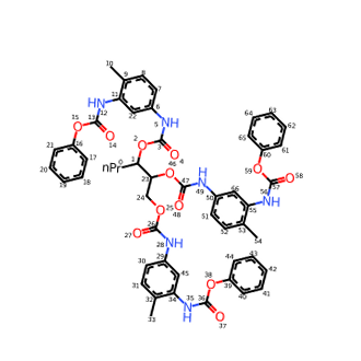 CCCC(OC(=O)Nc1ccc(C)c(NC(=O)Oc2ccccc2)c1)C(COC(=O)Nc1ccc(C)c(NC(=O)Oc2ccccc2)c1)OC(=O)Nc1ccc(C)c(NC(=O)Oc2ccccc2)c1